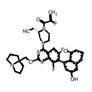 C=C(F)C(=O)N1CCN(c2nc(OCC34CCCN3CCC4)nc3c(F)c(-c4cc(O)cc5cccc(Cl)c45)c(F)cc23)C[C@@H]1CC#N